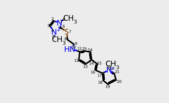 Cn1cc[n+](C)c1SCCNc1ccc(/C=C/c2cccc[n+]2C)cc1